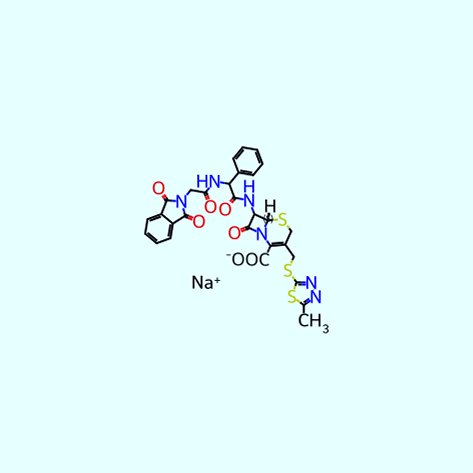 Cc1nnc(SCC2=C(C(=O)[O-])N3C(=O)C(NC(=O)C(NC(=O)CN4C(=O)c5ccccc5C4=O)c4ccccc4)[C@@H]3SC2)s1.[Na+]